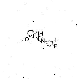 CCOc1cccc(Nc2cn(-c3ccc(F)c(F)c3)cn2)n1